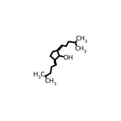 CC(C)CCC=C1CCC(=CCCC(C)C)C1O